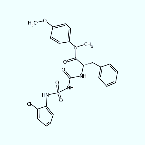 COc1ccc(N(C)C(=O)[C@H](Cc2ccccc2)NC(=O)NS(=O)(=O)Nc2ccccc2Cl)cc1